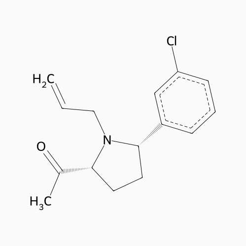 C=CCN1[C@@H](C(C)=O)CC[C@H]1c1cccc(Cl)c1